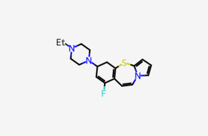 CCN1CCN(C2C=C(F)C3=C(C2)Sc2cccn2C=C3)CC1